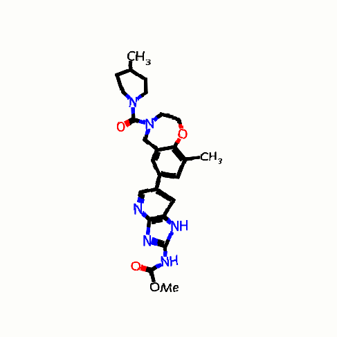 COC(=O)Nc1nc2ncc(-c3cc(C)c4c(c3)CN(C(=O)N3CCC(C)CC3)CCO4)cc2[nH]1